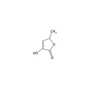 CC1C=C(O)C(=O)O1